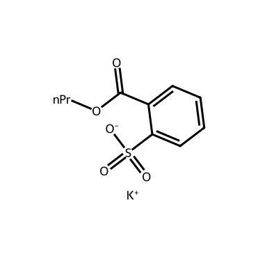 CCCOC(=O)c1ccccc1S(=O)(=O)[O-].[K+]